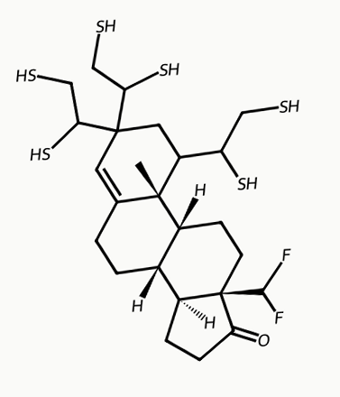 C[C@@]12C(=CC(C(S)CS)(C(S)CS)CC1C(S)CS)CC[C@@H]1[C@H]2CC[C@]2(C(F)F)C(=O)CC[C@@H]12